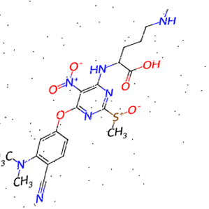 CN(C)c1cc(Oc2nc([S+](C)[O-])nc(NC(CCCNC(=N)N)C(=O)O)c2[N+](=O)[O-])ccc1C#N